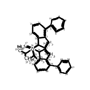 CC1=Cc2c(-c3ccccc3)cccc2[CH]1[Zr](=[SiH2])([CH](C)C)([CH](C)C)[CH]1C(C)=Cc2c(-c3ccccc3)cccc21